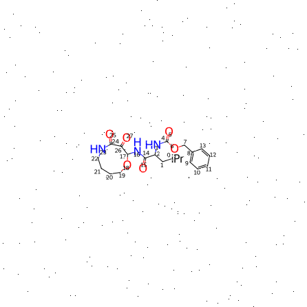 CC(C)CC(NC(=O)OCc1ccccc1)C(=O)NC1OCCCCNC(=O)C1=O